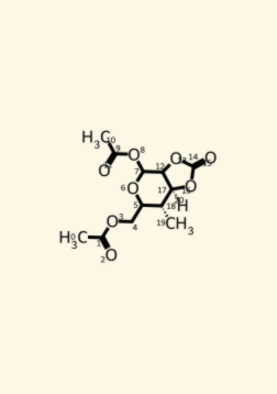 CC(=O)OCC1OC(OC(C)=O)C2OC(=O)O[C@H]2[C@@H]1C